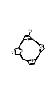 [2H]C1=CC2=CC3=NC(=CC4=NC(=CC5=NC(=CC1=N2)C=C5)C=C4)C=C3.[V]